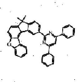 CC1(C)c2ccc(-c3nc(-c4ccccc4)cc(-c4ccccc4)n3)cc2-c2c1ccc1oc3ccccc3c21